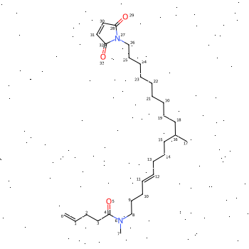 C=CCCC(=O)N(C)CCC/C=C/CCCC(C)CCCCCCCCCN1C(=O)C=CC1=O